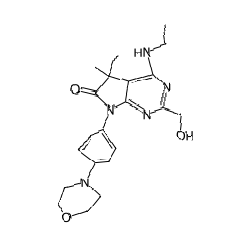 CCNc1nc(CO)nc2c1C(C)(C)C(=O)N2c1ccc(N2CCOCC2)cc1